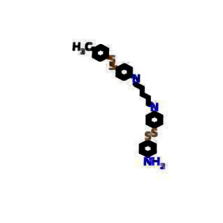 Cc1ccc(SSc2ccc(/N=C/CCC/C=N/c3ccc(SSc4ccc(N)cc4)cc3)cc2)cc1